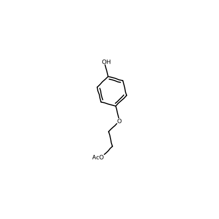 CC(=O)OCCOc1ccc(O)cc1